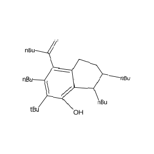 [C]=C(CCCC)c1c2c(c(O)c(C(C)(C)C)c1CCCC)C(CCCC)C(CCCC)CC2